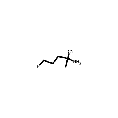 CC(N)(C#N)CCCF